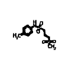 Cc1ccc(NS(=O)(=O)CCCS(C)(=O)=O)cc1